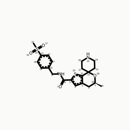 C[C@H]1Cc2cc(C(=O)NCc3ccc(S(C)(=O)=O)cc3)sc2C2(CCNCC2)O1